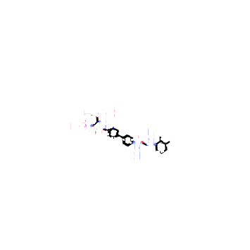 CC1CCCC(NCC(=O)Nc2ccc(-c3ccc(C(=O)N[C@H](C(=O)NO)[C@@H](C)O)cc3)cc2)C1C